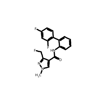 Cn1cc(C(=O)Nc2ccccc2-c2ccc(F)cc2F)c(CF)n1